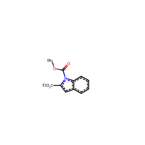 CCOC(=O)c1cc2ccccc2n1C(=O)OC(C)(C)C